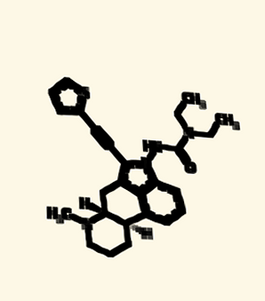 CCN(CC)C(=O)Nn1c(C#Cc2cccs2)c2c3c(cccc31)[C@H]1CCCN(C)[C@@H]1C2